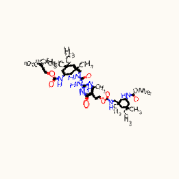 CCCCCCCCCCC(CCCCCCCC)COC(=O)NC1CC(C)(C)CC(C)(CNC(=O)Nc2nc(=O)c(CCOC(=O)NCC3(C)CC(NC(=O)OC)CC(C)(C)C3)c(C)[nH]2)C1